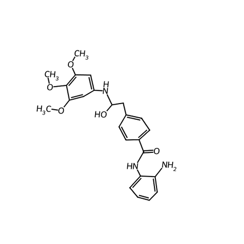 COc1cc(NC(O)Cc2ccc(C(=O)Nc3ccccc3N)cc2)cc(OC)c1OC